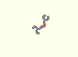 c1ccc2c(c1)ccc1ccc(N(c3ccc4cc5c(cc4c3)oc3c5ccc4oc5cc6cc(N(c7ccc8ccc9ccccc9c8c7)c7ccc8ccc9ccccc9c8c7)ccc6cc5c43)c3ccc4ccc5ccccc5c4c3)cc12